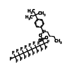 CCCC[S+](OS(=O)(=O)C(F)(F)C(F)(F)C(F)(F)C(F)(F)C(F)(F)C(F)(F)C(F)(F)C(F)(F)F)c1ccc(C(C)(C)C)cc1